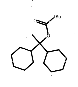 CC(C)(C)C(=O)OC(C)(C1CCCCC1)C1CCCCC1